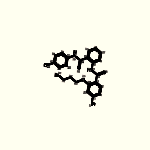 CC(C)c1ccc(C(=O)Nc2ccccc2C(=O)Nc2ccc(Cl)cn2)c(OCCCBr)c1